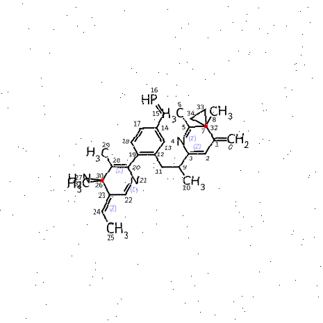 C=C(/C=C(\N=C(\C)CC)C(C)Cc1cc(C=P)ccc1C(/N=C\C(=C/C)CN)=C(\C)CC)C1CC1